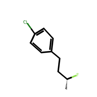 C[C@@H](F)CCc1ccc(Cl)cc1